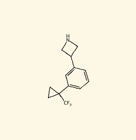 FC(F)(F)C1(c2cccc(C3CNC3)c2)CC1